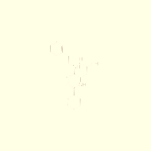 CC(C)CC(NC(=O)C1CCCCC1)C(=O)NCCc1ccccc1